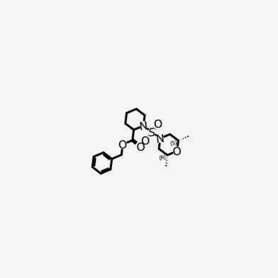 C[C@@H]1CN(S(=O)(=O)N2CCCCC2C(=O)OCc2ccccc2)C[C@H](C)O1